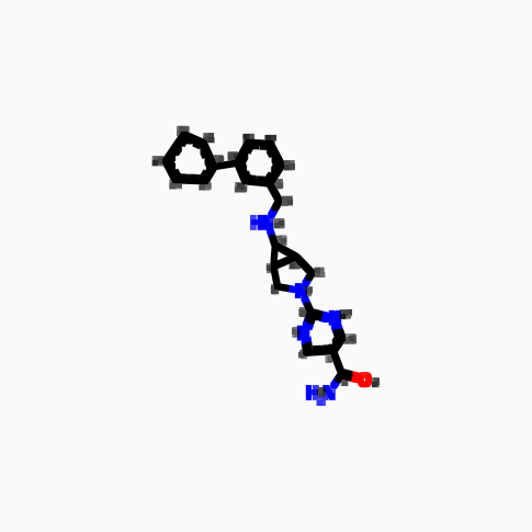 NC(=O)c1cnc(N2CC3C(C2)C3NCc2cccc(-c3ccccc3)c2)nc1